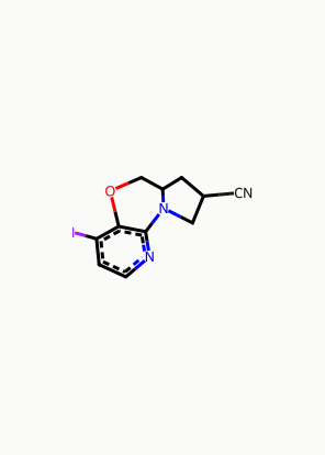 N#CC1CC2COc3c(I)ccnc3N2C1